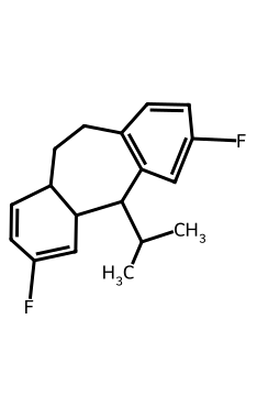 CC(C)C1c2cc(F)ccc2CCC2C=CC(F)=CC21